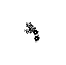 CS(=O)(=O)N1CCN(S(=O)(=O)c2ccc(Oc3ccc(Cl)cc3)cc2)C(C(=O)NO)C1